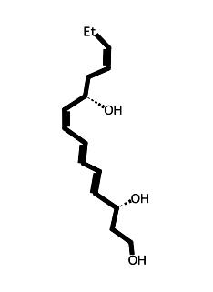 CC/C=C\C[C@H](O)\C=C/C=C/C=C/[C@H](O)CCO